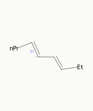 CCC=C/[C]=C/CCC